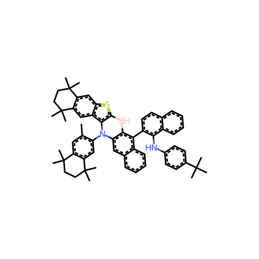 Cc1cc2c(cc1N1c3cc4ccccc4c(-c4ccc5ccccc5c4Nc4ccc(C(C)(C)C)cc4)c3Bc3sc4cc5c(cc4c31)C(C)(C)CCC5(C)C)C(C)(C)CCC2(C)C